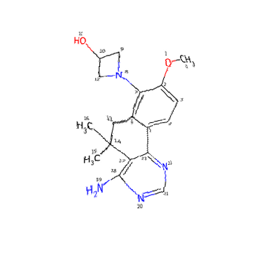 COc1ccc2c(c1N1CC(O)C1)CC(C)(C)c1c(N)ncnc1-2